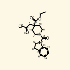 CCOC(=O)C1(CC(=O)Cl)CCN(C(=O)N2CCc3ccccc32)CC1